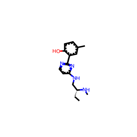 CC[C@H](CNc1ccnc(-c2cc(C)ccc2O)n1)NC